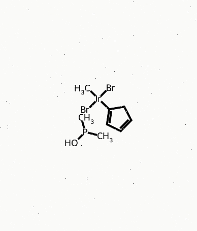 CP(C)O.[CH3][Ir]([Br])([Br])[C]1=CC=CC1